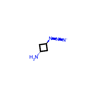 [N-]=[N+]=N[C@H]1C[C@H](N)C1